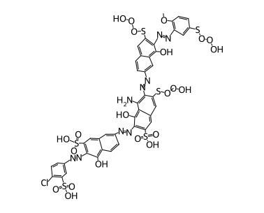 COc1ccc(SOOO)cc1N=Nc1c(SOOO)cc2ccc(N=Nc3c(SOOO)cc4cc(S(=O)(=O)O)c(N=Nc5ccc6c(O)c(N=Nc7ccc(Cl)c(S(=O)(=O)O)c7)c(S(=O)(=O)O)cc6c5)c(O)c4c3N)cc2c1O